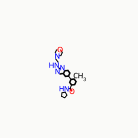 Cc1ccc(C(=O)NC2CCCC2)cc1-c1ccc2nc(NCCN3CCOCC3)ncc2c1